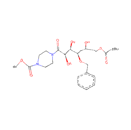 CC(C)(C)OC(=O)N1CCN(C(=O)[C@H](O)[C@@H](O)[C@H](OCc2ccccc2)C(O)COC(=O)C(C)(C)C)CC1